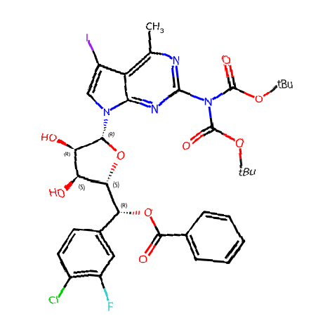 Cc1nc(N(C(=O)OC(C)(C)C)C(=O)OC(C)(C)C)nc2c1c(I)cn2[C@@H]1O[C@H]([C@H](OC(=O)c2ccccc2)c2ccc(Cl)c(F)c2)[C@@H](O)[C@H]1O